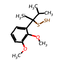 COc1cccc(C([SiH3])(SS)C(C)C)c1OC